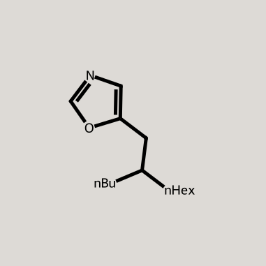 CCCCCCC(CCCC)Cc1cnco1